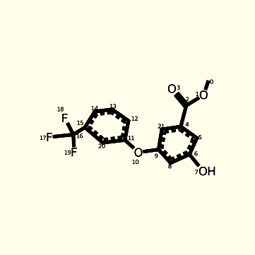 COC(=O)c1cc(O)cc(Oc2cccc(C(F)(F)F)c2)c1